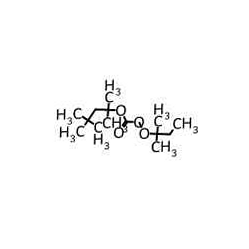 CCC(C)(C)OOC(=O)OC(C)(C)CC(C)(C)C